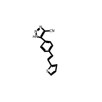 N#Cc1nn[nH]c1-c1ccc(/C=C/c2cccs2)cc1